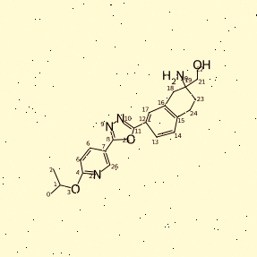 CC(C)Oc1ccc(-c2nnc(-c3ccc4c(c3)CC(N)(CO)CC4)o2)cn1